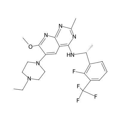 CCN1CCN(c2cc3c(N[C@H](C)c4cccc(C(F)(F)F)c4F)nc(C)nc3nc2OC)CC1